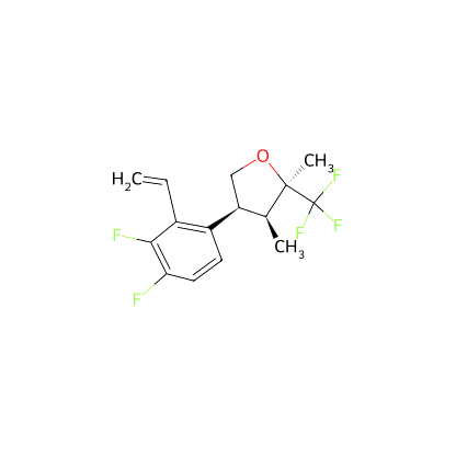 C=Cc1c([C@H]2CO[C@@](C)(C(F)(F)F)[C@H]2C)ccc(F)c1F